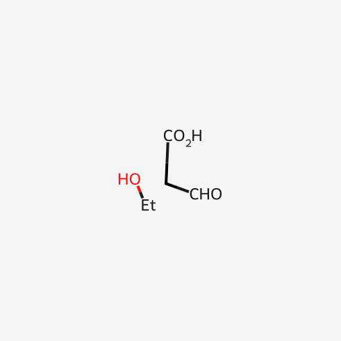 CCO.O=CCC(=O)O